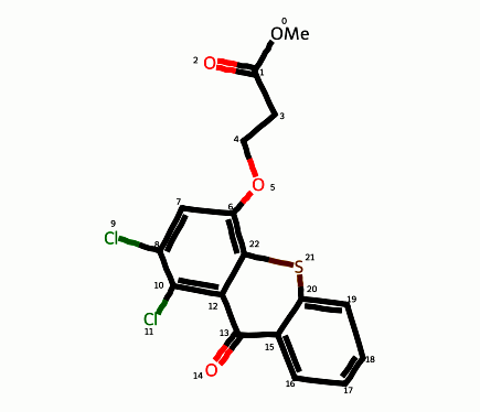 COC(=O)CCOc1cc(Cl)c(Cl)c2c(=O)c3ccccc3sc12